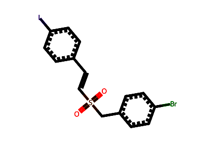 O=S(=O)(C=Cc1ccc(I)cc1)Cc1ccc(Br)cc1